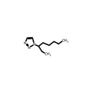 CCCCCC(CC)n1ccnn1